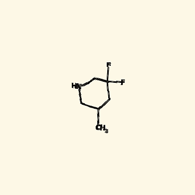 CC1CNCC(F)(F)C1